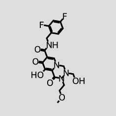 COCCN1C(=O)c2c(O)c(=O)c(C(=O)NCc3ccc(F)cc3F)cn2CN1CO